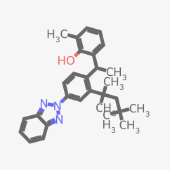 Cc1cccc(C(C)c2ccc(-n3nc4ccccc4n3)cc2C(C)(C)CC(C)(C)C)c1O